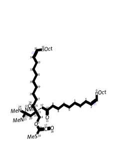 CCCCCCCC/C=C\CCCCCCCC(=O)C[C@](COC(=C=O)SC)(CC(NC)(NC)NC)C(=O)CCCCCCC/C=C\CCCCCCCC